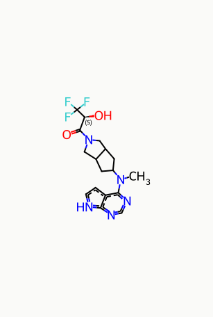 CN(c1ncnc2[nH]ccc12)C1CC2CN(C(=O)[C@H](O)C(F)(F)F)CC2C1